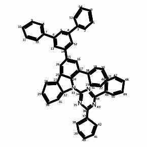 c1ccc(-c2cc(-c3ccccc3)cc(-c3cc(-c4ccccc4)c4c(c3)c3ccccc3n4-c3nc(-c4ccccc4)nc(-c4ccccc4)n3)c2)cc1